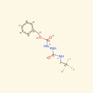 O=C(NCC(F)(F)F)NNC(=O)OCc1ccccc1